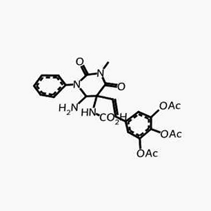 CC(=O)Oc1cc(C=CC2(NC(=O)O)C(=O)N(C)C(=O)N(c3ccccc3)C2N)cc(OC(C)=O)c1OC(C)=O